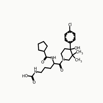 CC1(C)CN(C(=O)C(CCCNC(=O)O)NC(=O)C2CCCC2)CCC1(O)c1ccc(Cl)cc1